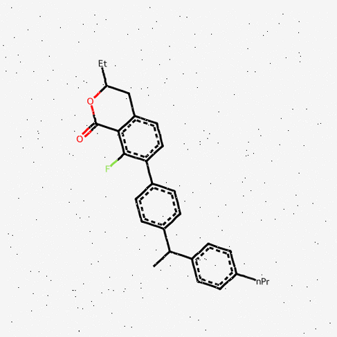 CCCc1ccc(C(C)c2ccc(-c3ccc4c(c3F)C(=O)OC(CC)C4)cc2)cc1